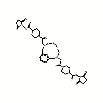 O=C(ON1C(=O)CCC1=O)C1CCN(C(=O)CN2CCOCCN(CC(=O)N3CCC(C(=O)ON4C(=O)CCC4=O)CC3)Cc3cccc(n3)C2)CC1